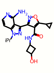 CC(C)n1nc(-c2noc(C3CC3)c2C(=O)NC2CC(O)C2)c2c(N)nccc21